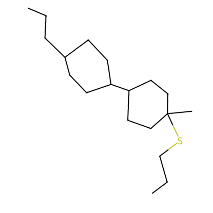 CCCSC1(C)CCC(C2CCC(CCC)CC2)CC1